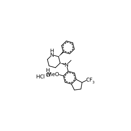 COc1cc2c(cc1N(C)[C@H]1CCCN[C@H]1c1ccccc1)C(C(F)(F)F)CC2.Cl.Cl